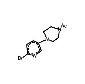 CC(=O)N1CCN(c2ccc(Br)nc2)CC1